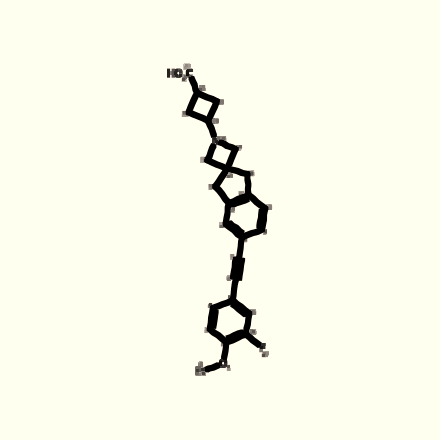 CCOc1ccc(C#Cc2ccc3c(c2)CC2(C3)CN(C3CC(C(=O)O)C3)C2)cc1F